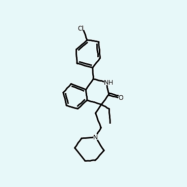 CCC1(CCN2CCCCC2)C(=O)NC(c2ccc(Cl)cc2)c2ccccc21